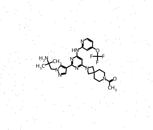 CC(=O)N1CCC2(CC1)CN(c1cc(Nc3cc(OC(F)(F)F)ccn3)nc(-c3cnn(CC(C)(C)N)c3)n1)C2